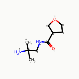 CC(C)(N)CNC(=O)C1CCOC1